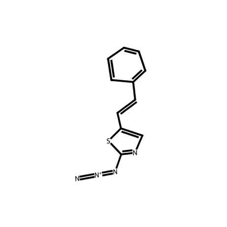 [N-]=[N+]=Nc1ncc(C=Cc2ccccc2)s1